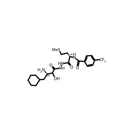 CSCC[C@@H](NC(=O)c1ccc(C(F)(F)F)cc1)C(=O)NNC(=O)C(O)[C@H](N)CC1CCCCC1